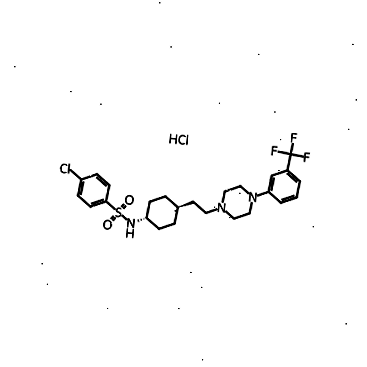 Cl.O=S(=O)(N[C@H]1CC[C@H](CCN2CCN(c3cccc(C(F)(F)F)c3)CC2)CC1)c1ccc(Cl)cc1